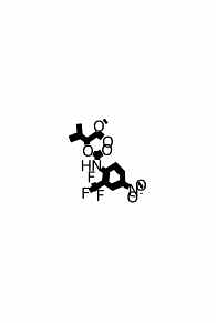 C=C(C)C(OC(=O)Nc1ccc([N+](=O)[O-])cc1C(F)(F)F)C(=O)OC